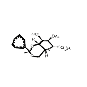 CC(=O)O[C@@H]1[C@H](O)[C@H]2O[C@@](C)(c3ccccc3)OC[C@H]2O[C@H]1C(=O)O